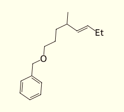 CC/C=C/C(C)CCCOCc1ccccc1